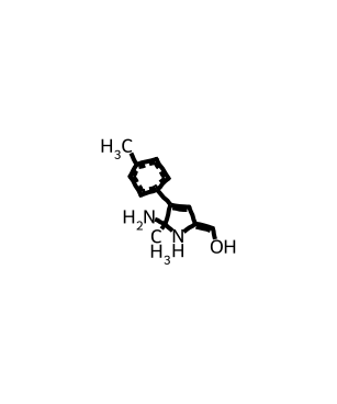 Cc1ccc(C2=C/C(=C/O)NC2(C)N)cc1